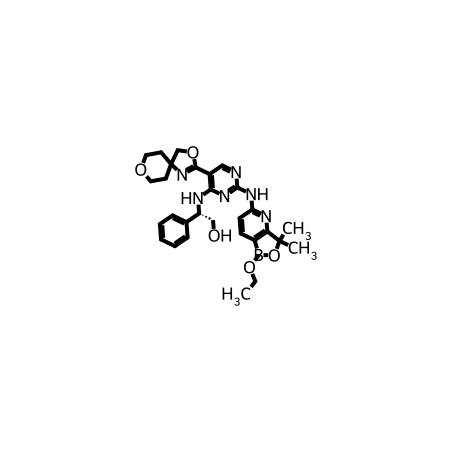 CCOB1OC(C)(C)c2nc(Nc3ncc(C4=NC5(CCOCC5)CO4)c(N[C@H](CO)c4ccccc4)n3)ccc21